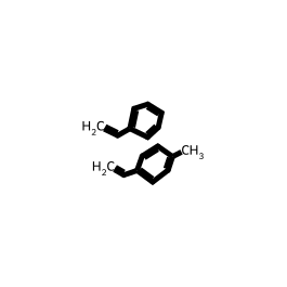 C=Cc1ccc(C)cc1.C=Cc1ccccc1